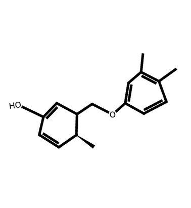 Cc1ccc(OCC2C=C(O)C=C[C@@H]2C)cc1C